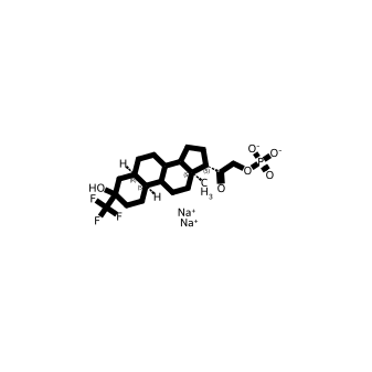 C[C@]12CCC3C(CC[C@@H]4CC(O)(C(F)(F)F)CC[C@H]34)C1CC[C@@H]2C(=O)COP(=O)([O-])[O-].[Na+].[Na+]